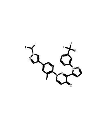 Cc1cc(-c2cnn(C(F)F)c2)ccc1-n1ccc(=O)c(-c2ccnn2-c2cccc(C(F)(F)F)c2)n1